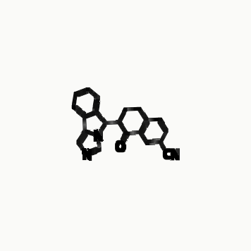 N#Cc1ccc2c(c1)C(=O)C(C1c3ccccc3-c3cncn31)CC2